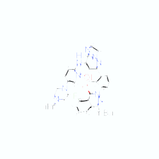 CCCCc1nn(-c2cccc(-c3cc(Nc4ccc(N5CCN(C(C)C)CC5)cn4)c4nccn4n3)c2CO)c(=O)c2c(F)cccc12